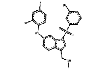 CNCc1cn(S(=O)(=O)c2cncc(Br)c2)c2cc(Nc3ccc(C)cc3F)ccc12